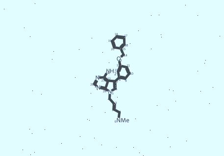 CNCC=CCn1cc(-c2cccc(OCc3ccccc3)c2)c2c(N)ncnc21